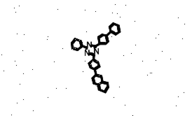 c1ccc(-c2ccc(-c3nc(-c4ccccc4)nc(-c4ccc(-c5ccc6ccccc6c5)cc4)n3)cc2)cc1